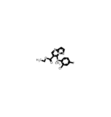 CCOC(=O)c1cnc2ccnn2c1N(C)c1ccc(F)cc1Cl